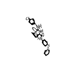 O=C(Nc1ccc(Cl)cc1)NC(C(=O)NC1=CCC(=NN2CCCCC2)C=C1)c1cccs1